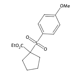 CCOC(=O)C1(S(=O)(=O)c2ccc(OC)cc2)CCCC1